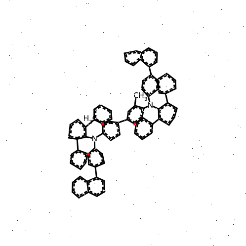 Cc1cc(-c2ccc(N(c3ccc(-c4cccc5ccccc45)cc3)c3c(-c4ccccc4)cccc3-c3ccccc3)c(C)c2)ccc1N(c1ccc(-c2cccc3ccccc23)cc1)c1c(-c2ccccc2)cccc1-c1ccccc1